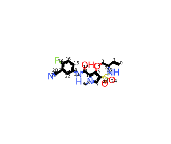 C=CC1COc2c(cn(C)c2C(O)Nc2ccc(F)c(C#N)c2)S(=O)(=O)N1